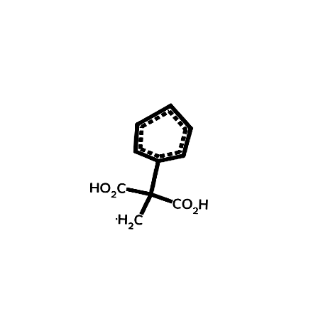 [CH2]C(C(=O)O)(C(=O)O)c1ccccc1